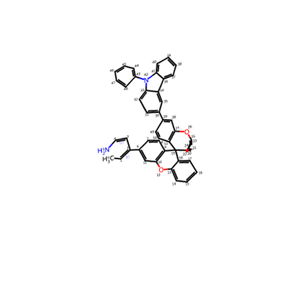 C/C=C(\C=C/N)c1ccc2c(c1)Oc1ccccc1C21C2=CCCC=C2Oc2cc(-c3ccc4c(c3)c3ccccc3n4-c3ccccc3)ccc21